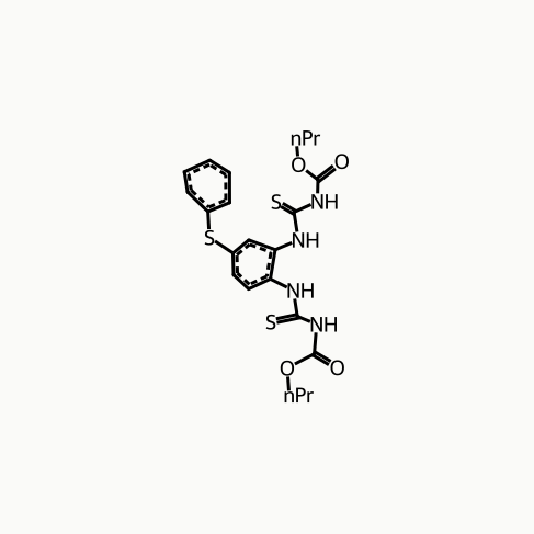 CCCOC(=O)NC(=S)Nc1ccc(Sc2ccccc2)cc1NC(=S)NC(=O)OCCC